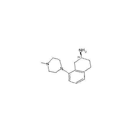 CN1CCN(c2cccc3c2C[C@@H](N)CC3)CC1